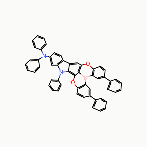 c1ccc(-c2ccc3c(c2)B2c4cc(-c5ccccc5)ccc4Oc4c2c(cc2c5ccc(N(c6ccccc6)c6ccccc6)cc5n(-c5ccccc5)c42)O3)cc1